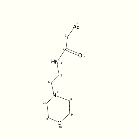 CC(=O)CC(=O)NCCN1CCOCC1